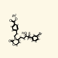 CC(C)OC(=O)c1ccc(CCN2C(=O)OCCC2CC[C@@H](O)C(F)(F)c2cccc(Br)c2)cc1